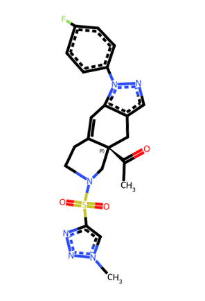 CC(=O)[C@]12Cc3cnn(-c4ccc(F)cc4)c3C=C1CCN(S(=O)(=O)c1cn(C)nn1)C2